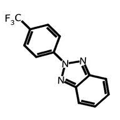 FC(F)(F)c1ccc(-n2nc3ccccc3n2)cc1